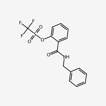 O=C(NCc1ccccc1)c1ccccc1OS(=O)(=O)C(F)(F)F